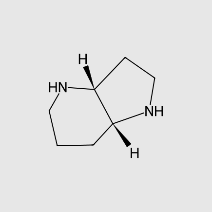 C1CN[C@@H]2CCN[C@@H]2C1